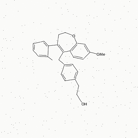 COc1ccc2c(c1)OCCC(c1ccccc1C)=C2Cc1ccc(CCO)cc1